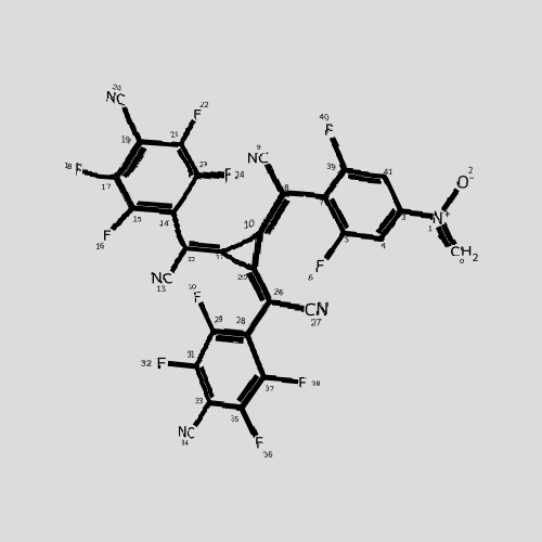 C=[N+]([O-])c1cc(F)c(/C(C#N)=C2/C(=C(C#N)c3c(F)c(F)c(C#N)c(F)c3F)/C2=C(/C#N)c2c(F)c(F)c(C#N)c(F)c2F)c(F)c1